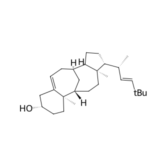 C[C@H](/C=C/C(C)(C)C)[C@H]1CC[C@H]2[C@@H]3CC=C4C[C@@H](O)CC[C@]4(C)[C@@H](CC[C@]12C)C3